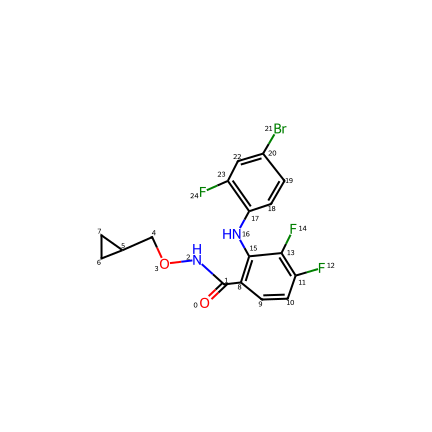 O=C(NOCC1CC1)c1ccc(F)c(F)c1Nc1ccc(Br)cc1F